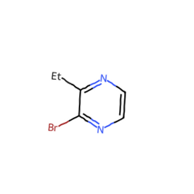 CCc1nccnc1Br